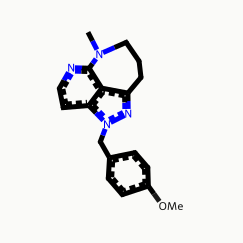 COc1ccc(Cn2nc3c4c(nccc42)N(C)CCC3)cc1